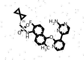 Cc1ccc2c(NS(=O)(=O)C[C@H]3CC34CC4)c(F)ccc2c1Oc1ncccc1-c1ccnc(N)n1